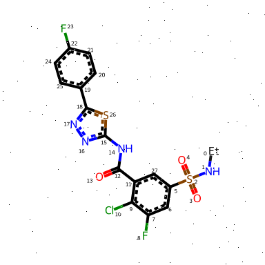 CCNS(=O)(=O)c1cc(F)c(Cl)c(C(=O)Nc2nnc(-c3ccc(F)cc3)s2)c1